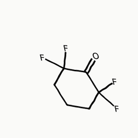 O=C1C(F)(F)CCCC1(F)F